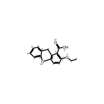 CCOc1ccc2c(c1C(=O)O)Cc1ccccc1O2